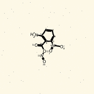 Nc1cccc([N+](=O)[O-])c1C(=O)ON=O